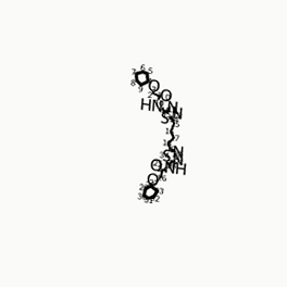 O=C(COc1ccccc1)Nc1nnc(CCCCc2nnc(NC(=O)COc3ccccc3)s2)s1